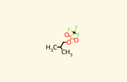 CC(C)COS(=O)(=O)C(F)(F)F